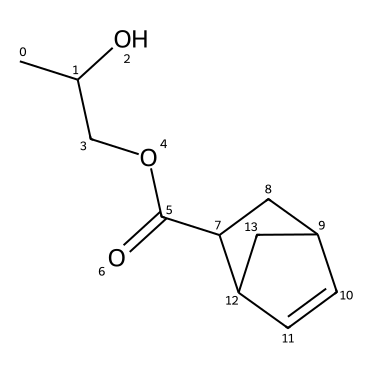 CC(O)COC(=O)C1CC2C=CC1C2